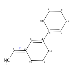 N#C/C=C1/C=C(C2=CCCCC2)CCC1